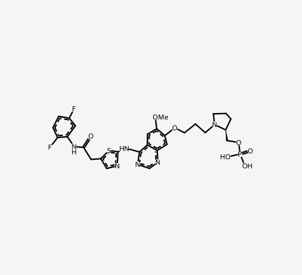 COc1cc2c(Nc3ncc(CC(=O)Nc4cc(F)ccc4F)s3)ncnc2cc1OCCCN1CCC[C@H]1COP(=O)(O)O